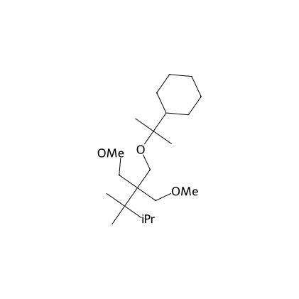 COCC(COC)(COC(C)(C)C1CCCCC1)C(C)(C)C(C)C